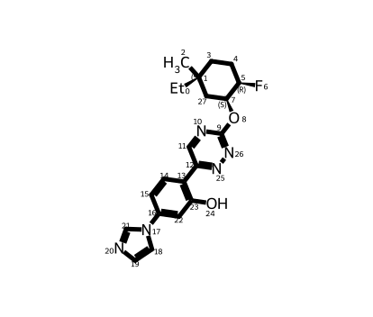 CC[C@@]1(C)CC[C@@H](F)[C@@H](Oc2ncc(-c3ccc(-n4ccnc4)cc3O)nn2)C1